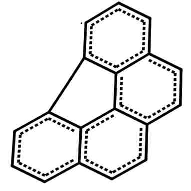 [c]1ccc2ccc3ccc4cccc5c4c3c2c1-5